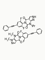 CC(C)n1c(=O)n(-c2c(F)cc(C#Cc3ccccc3)cc2F)c(=O)c2c[nH]nc21.Cn1ncc2c(=O)n(-c3c(F)cc(C#Cc4ccccc4)cc3F)c(=O)n(C)c21